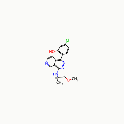 COC[C@@H](C)Nc1nnc(-c2ccc(Cl)cc2O)c2ccncc12